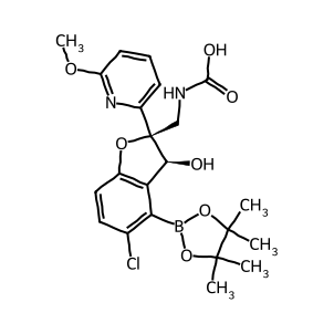 COc1cccc([C@@]2(CNC(=O)O)Oc3ccc(Cl)c(B4OC(C)(C)C(C)(C)O4)c3[C@@H]2O)n1